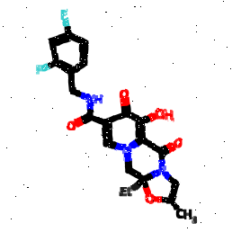 CCC12Cn3cc(C(=O)NCc4ccc(F)cc4F)c(=O)c(O)c3C(=O)N1C[C@@H](C)O2